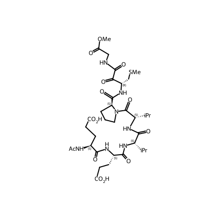 COC(=O)CNC(=O)C(=O)[C@H](CSC)NC(=O)[C@@H]1CCCN1C(=O)[C@@H](NC(=O)[C@@H](NC(=O)[C@H](CCC(=O)O)NC(=O)[C@H](CCC(=O)O)NC(C)=O)C(C)C)C(C)C